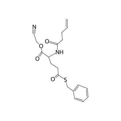 C=CCCC(=O)NC(CCC(=O)SCc1ccccc1)C(=O)OCC#N